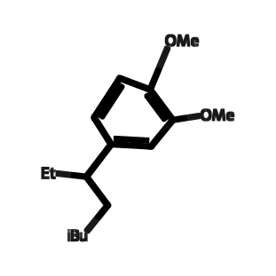 [CH2]C(CC)CC(CC)c1ccc(OC)c(OC)c1